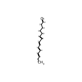 CCC=CC=CC=CC=CCCCCC=O